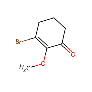 COC1=C(Br)CCCC1=O